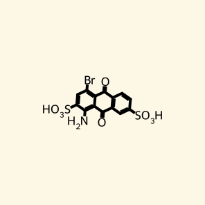 Nc1c(S(=O)(=O)O)cc(Br)c2c1C(=O)c1cc(S(=O)(=O)O)ccc1C2=O